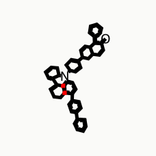 C1=CCC(N(c2ccc(-c3ccc(-c4ccccc4)cc3)cc2)C2C=CC(C3C=CC4c5c(oc6ccccc56)C=CC4C3)=CC2)C(C2=CCCCC2)=C1